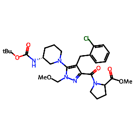 COCn1nc(C(=O)N2CCCC2C(=O)OC)c(Cc2ccccc2Cl)c1N1CCC[C@@H](NC(=O)OC(C)(C)C)C1